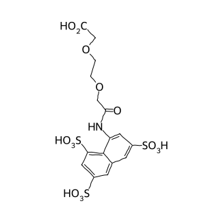 O=C(O)COCCOCC(=O)Nc1cc(S(=O)(=O)O)cc2cc(S(=O)(=O)O)cc(S(=O)(=O)O)c12